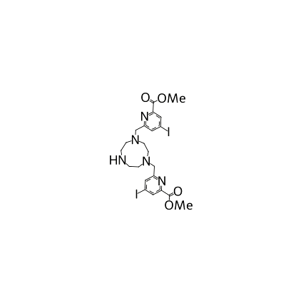 COC(=O)c1cc(I)cc(CN2CCNCCN(Cc3cc(I)cc(C(=O)OC)n3)CC2)n1